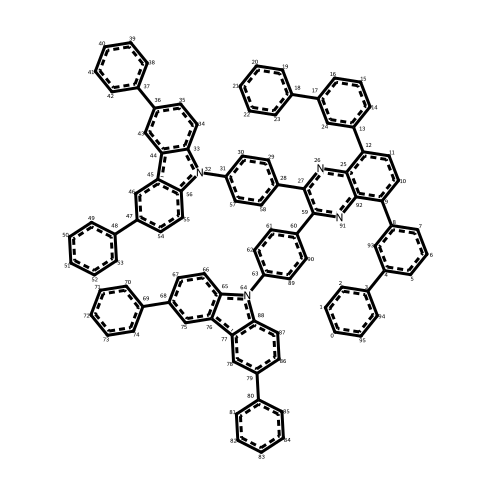 c1ccc(-c2cccc(-c3ccc(-c4cccc(-c5ccccc5)c4)c4nc(-c5ccc(-n6c7ccc(-c8ccccc8)cc7c7cc(-c8ccccc8)ccc76)cc5)c(-c5ccc(-n6c7ccc(-c8ccccc8)cc7c7cc(-c8ccccc8)ccc76)cc5)nc34)c2)cc1